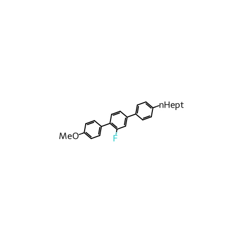 CCCCCCCc1ccc(-c2ccc(-c3ccc(OC)cc3)c(F)c2)cc1